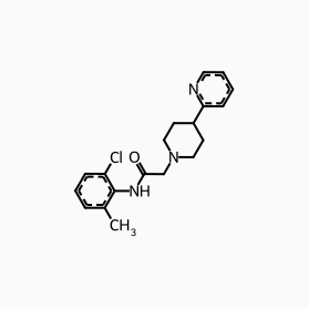 Cc1cccc(Cl)c1NC(=O)CN1CCC(c2ccccn2)CC1